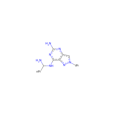 CCCC(N)Nc1nc(N)nc2cn(C(C)C)nc12